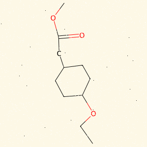 CCOC1CCC(CC(=O)OC)CC1